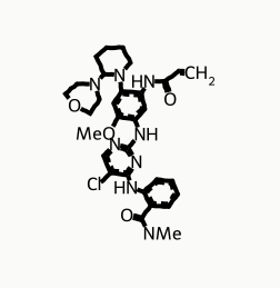 C=CC(=O)Nc1cc(Nc2ncc(Cl)c(Nc3ccccc3C(=O)NC)n2)c(OC)cc1N1CCCCC1N1CCOCC1